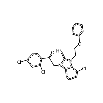 N=c1n(CC(=O)c2ccc(Cl)cc2Cl)c2cccc(Cl)c2n1CCOc1ccccc1